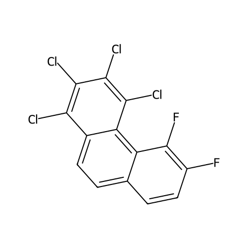 Fc1ccc2ccc3c(Cl)c(Cl)c(Cl)c(Cl)c3c2c1F